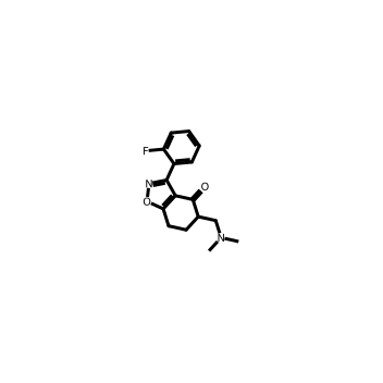 CN(C)CC1CCc2onc(-c3ccccc3F)c2C1=O